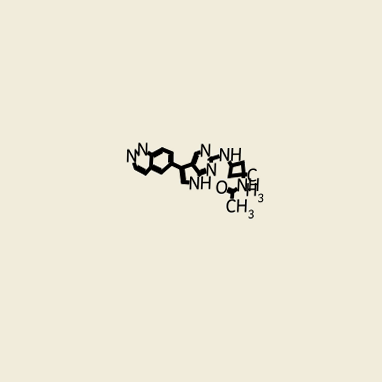 CC(=O)NC1(C)CC(Nc2ncc3c(-c4ccc5nnccc5c4)c[nH]c3n2)C1